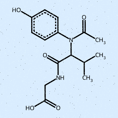 CC(=O)N(c1ccc(O)cc1)C(C(=O)NCC(=O)O)C(C)C